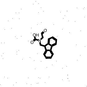 O=CCN(CC1c2ccccc2-c2ccccc21)C(=O)O